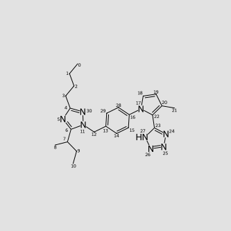 CCCCc1nc(C(C)CC)n(Cc2ccc(-n3ccc(C)c3-c3nnn[nH]3)cc2)n1